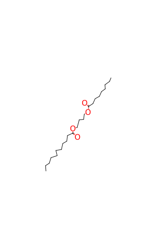 CCCCCCCCCCC(=O)OCCCCOC(=O)CCCCCCCC